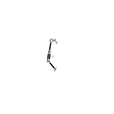 C/B=N/F